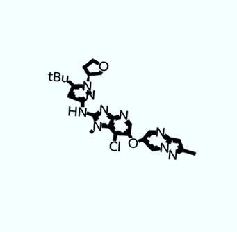 Cc1cc2ncc(Oc3cnc4nc(Nc5cc(C(C)(C)C)n([C@H]6CCOC6)n5)n(C)c4c3Cl)cn2n1